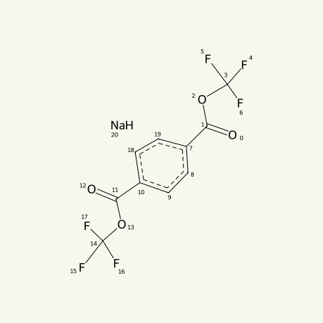 O=C(OC(F)(F)F)c1ccc(C(=O)OC(F)(F)F)cc1.[NaH]